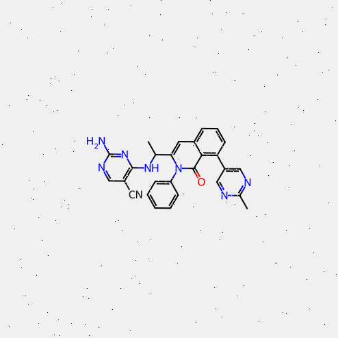 Cc1ncc(-c2cccc3cc(C(C)Nc4nc(N)ncc4C#N)n(-c4ccccc4)c(=O)c23)cn1